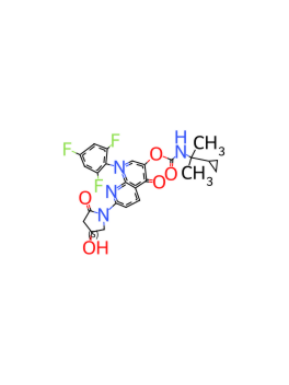 CC(C)(NC(=O)Oc1cn(-c2c(F)cc(F)cc2F)c2nc(N3C[C@@H](O)CC3=O)ccc2c1=O)C1CC1